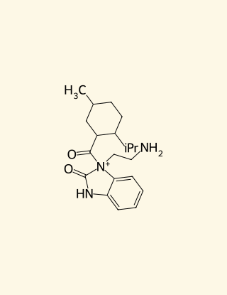 CC1CCC(C(C)C)C(C(=O)[N+]2(CCN)C(=O)Nc3ccccc32)C1